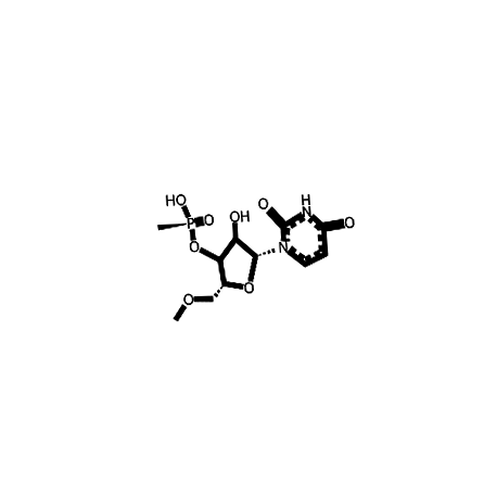 COC[C@H]1O[C@@H](n2ccc(=O)[nH]c2=O)C(O)C1O[P@@](C)(=O)O